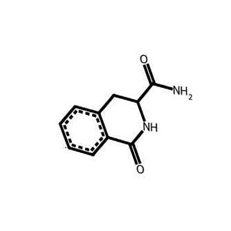 NC(=O)C1Cc2cc[c]cc2C(=O)N1